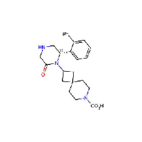 CC(C)c1ccccc1[C@H]1CNCC(=O)N1C1CC2(CCN(C(=O)O)CC2)C1